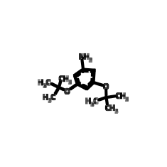 CC(C)(C)Oc1cc(N)cc(OC(C)(C)C)c1